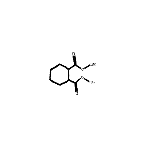 CCCOC(=O)C1CCCCC1C(=O)OC(C)(C)C